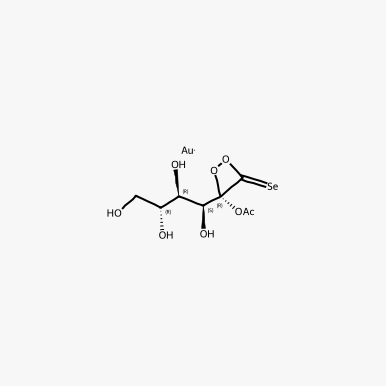 CC(=O)O[C@]1([C@@H](O)[C@H](O)[C@H](O)CO)OOC1=[Se].[Au]